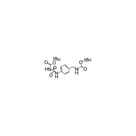 CC(C)(C)OC(=O)NCc1ccc(NS(=O)(=O)NC(=O)OC(C)(C)C)cc1